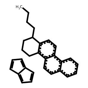 C1=CC2=CC=CC2=C1.CCCCC1CCCc2c1ccc1c2ccc2ccccc21